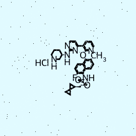 Cc1ccc2c(NS(=O)(=O)C[C@@H]3CC34CC4)c(F)ccc2c1Oc1ncccc1-c1ccnc(N[C@H]2CCCNC2)n1.Cl